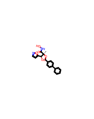 C[C@@](OCc1ccc(-c2ccccc2)cc1)(C(=O)NO)[C@@H](O)c1ccno1